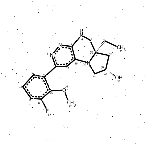 CC[C@@]12CNc3nnc(-c4cccc(F)c4OC)cc3N1C[C@@H](O)C2